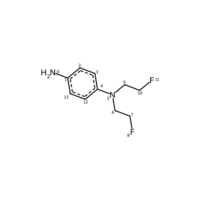 Nc1ccc(N(CCF)CCF)cc1